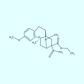 CCOC(=O)C1(C(C)=O)CC2C3Cc4ccc(OC)cc4[C@]2(C)CC1N3C